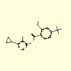 CCc1cc(C(F)(F)F)ccc1C(=S)Oc1[nH]nc(C2CC2)c1C